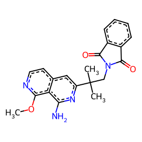 COc1nccc2cc(C(C)(C)CN3C(=O)c4ccccc4C3=O)nc(N)c12